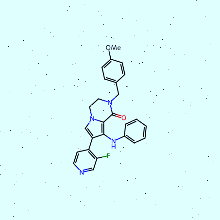 COc1ccc(CN2CCn3cc(-c4ccncc4F)c(Nc4ccccc4)c3C2=O)cc1